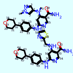 CN(c1cnn(C)c1)c1cc(Nc2ccc(C3CCOCC3)cc2)ncc1C(N)=O.NC(=O)c1cnc(Nc2ccc(C3CCOCC3)cc2)cc1NCc1nccs1